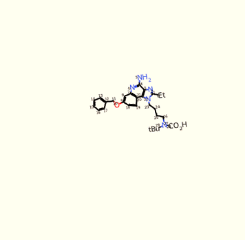 CCc1nc2c(N)nc3cc(OCc4ccccc4)ccc3c2n1CCCCN(C(=O)O)C(C)(C)C